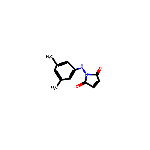 Cc1cc(C)cc(NN2C(=O)C=CC2=O)c1